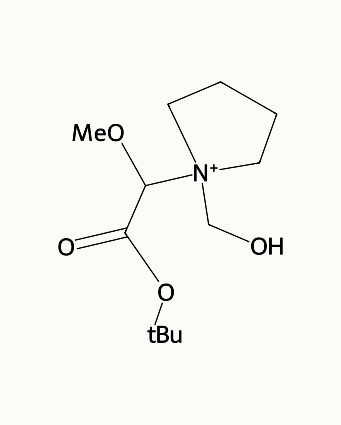 COC(C(=O)OC(C)(C)C)[N+]1(CO)CCCC1